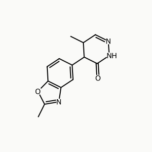 Cc1nc2cc(C3C(=O)NN=CC3C)ccc2o1